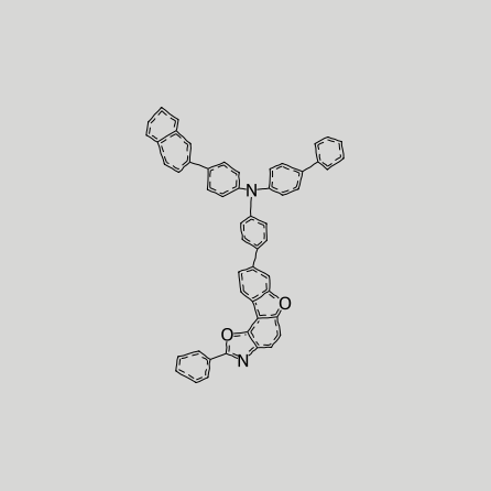 c1ccc(-c2ccc(N(c3ccc(-c4ccc5ccccc5c4)cc3)c3ccc(-c4ccc5c(c4)oc4ccc6nc(-c7ccccc7)oc6c45)cc3)cc2)cc1